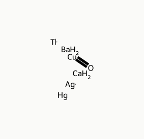 [Ag].[BaH2].[CaH2].[Hg].[O]=[Cu].[Tl]